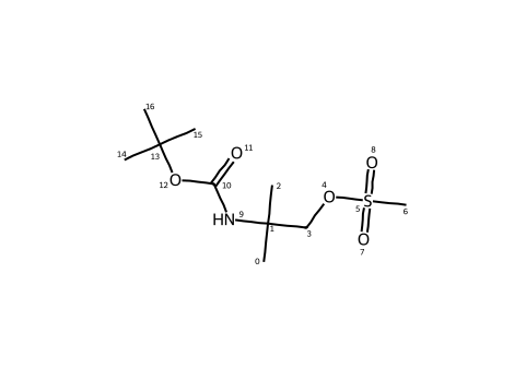 CC(C)(COS(C)(=O)=O)NC(=O)OC(C)(C)C